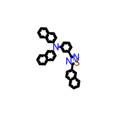 c1cc(-c2nsc(-c3ccc4ccccc4c3)n2)cc(N(c2ccc3ccccc3c2)c2ccc3ccccc3c2)c1